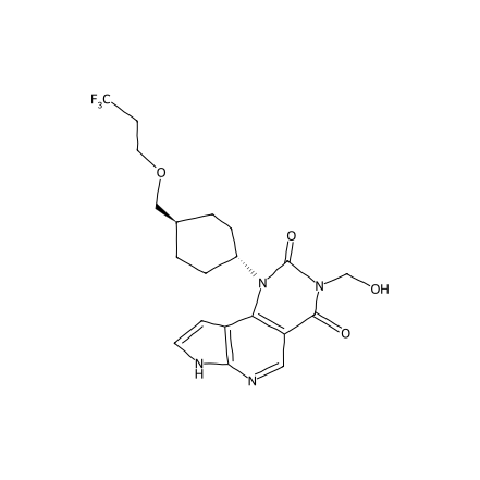 O=c1c2cnc3[nH]ccc3c2n([C@H]2CC[C@H](COCCC(F)(F)F)CC2)c(=O)n1CO